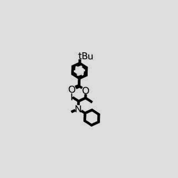 CC(OC(=O)c1ccc(C(C)(C)C)cc1)C(I)N(C)C1CCCCC1